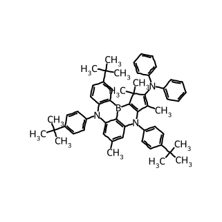 CC1=C(N(c2ccccc2)c2ccccc2)C(C)(C)C2=C1N(c1ccc(C(C)(C)C)cc1)c1cc(C)cc3c1B2c1cc(C(C)(C)C)ccc1N3c1ccc(C(C)(C)C)cc1